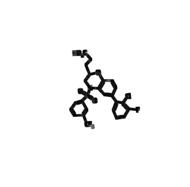 O=C(O)CCC1CN(S(=O)(=O)c2cccc(C(F)(F)F)c2)c2cc(-c3cccc(F)c3Cl)ccc2O1